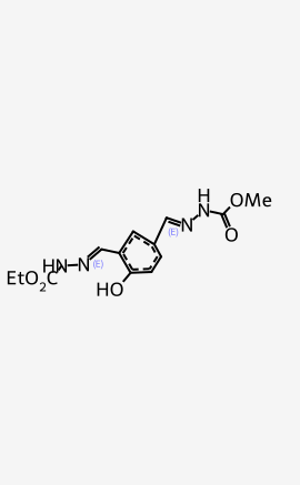 CCOC(=O)N/N=C/c1cc(/C=N/NC(=O)OC)ccc1O